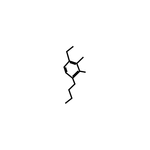 CCCCc1ccc(CC)c(C)c1C